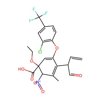 C=CC(C=O)C1=C(C)C([N+](=O)[O-])C(OCC)(C(=O)O)C=C1Oc1ccc(C(F)(F)F)cc1Cl